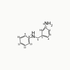 Nc1cccc(CNc2[c]cccc2)c1